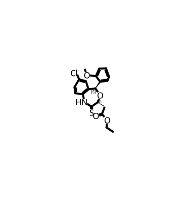 CCOC(=O)C[C@H]1O[C@H](c2ccccc2OC)c2cc(Cl)ccc2NC1=S